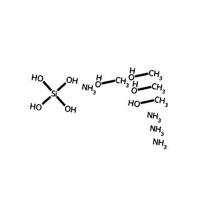 CO.CO.CO.CO.N.N.N.N.O[Si](O)(O)O